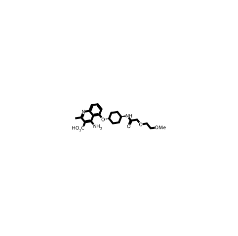 COCCOCC(=O)N[C@H]1CC[C@H](Oc2cccc3nc(C)c(C(=O)O)c(N)c23)CC1